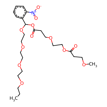 CCCOCCOCCOCCOC(OC(=O)CCOCCOC(=O)CCOC)c1ccccc1[N+](=O)[O-]